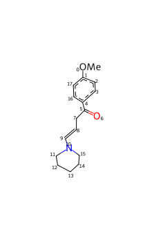 COc1ccc(C(=O)CC=CN2CCCCC2)cc1